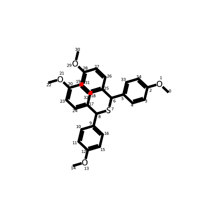 COc1ccc(C(SC(c2ccc(OC)cc2)c2ccc(OC)cc2)c2ccc(OC)cc2)cc1